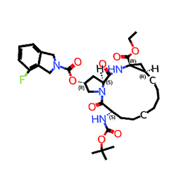 CCOC(=O)[C@@]12C[C@H]1CCCCCCC[C@H](NC(=O)OC(C)(C)C)C(=O)N1C[C@H](OC(=O)N3Cc4cccc(F)c4C3)C[C@H]1C(=O)N2